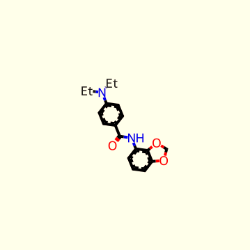 CCN(CC)c1ccc(C(=O)Nc2cccc3c2OCO3)cc1